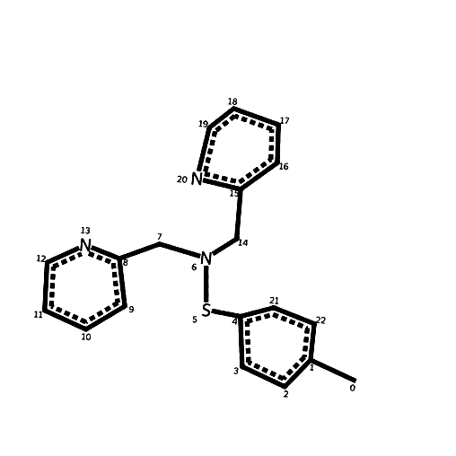 Cc1ccc(SN(Cc2ccccn2)Cc2ccccn2)cc1